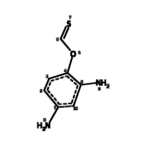 Nc1ccc(OC=S)c(N)c1